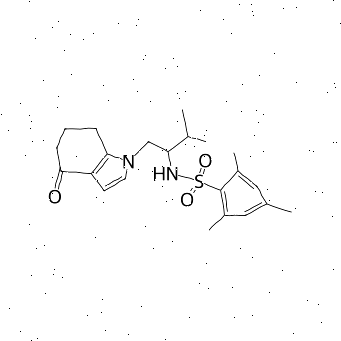 Cc1cc(C)c(S(=O)(=O)NC(Cn2ccc3c2CCCC3=O)C(C)C)c(C)c1